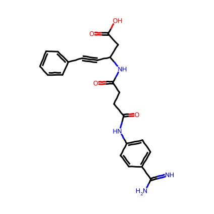 N=C(N)c1ccc(NC(=O)CCC(=O)NC(C#Cc2ccccc2)CC(=O)O)cc1